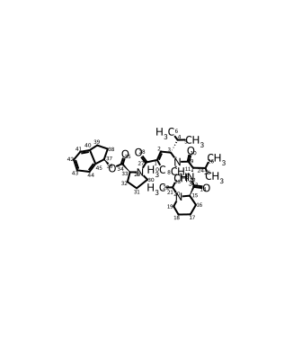 C/C(=C\[C@H](C(C)C)N(C)C(=O)[C@@H](NC(=O)[C@H]1CCCCN1C(C)C)C(C)C)C(=O)N1CCC[C@H]1C(=O)O[C@@H]1CCc2ccccc21